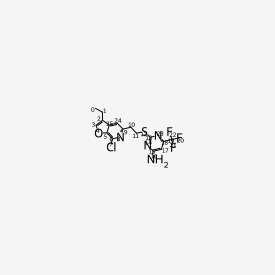 CCc1coc2c(Cl)nc(CCSc3nc(N)cc(C(F)(F)F)n3)cc12